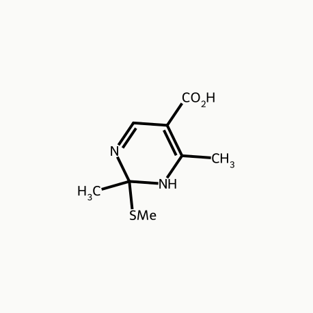 CSC1(C)N=CC(C(=O)O)=C(C)N1